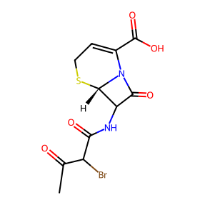 CC(=O)C(Br)C(=O)NC1C(=O)N2C(C(=O)O)=CCS[C@@H]12